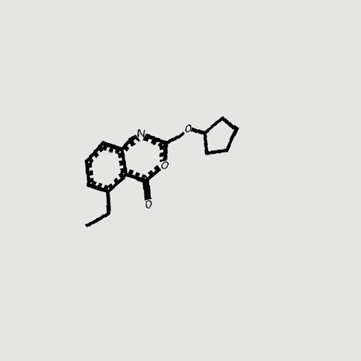 CCc1cccc2nc(OC3CCCC3)oc(=O)c12